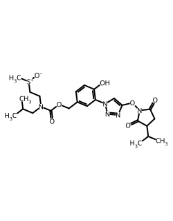 CC(C)CN(CC[S+](C)[O-])C(=O)OCc1ccc(O)c(-n2cc(ON3C(=O)CC(C(C)C)C3=O)nn2)c1